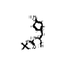 CC(C)(C)OC(=O)N[C@H](CO)Cc1ccc(N)cc1